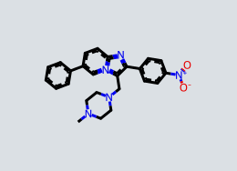 CN1CCN(Cc2c(-c3ccc([N+](=O)[O-])cc3)nc3ccc(-c4ccccc4)cn23)CC1